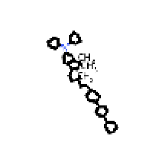 C=C(/C=C\C1=CC(C)(C)c2cc(N(c3ccccc3)c3ccccc3)ccc21)/C=C/c1ccc(-c2ccc(-c3ccccc3)cc2)cc1